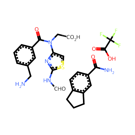 NC(=O)c1ccc2c(c1)CCC2.NCc1cccc(C(=O)N(CC(=O)O)c2csc(NC=O)n2)c1.O=C(O)C(F)(F)F